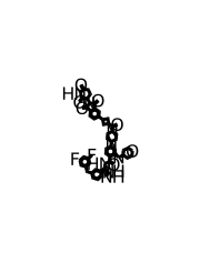 O=C1CCC(N2C(=O)c3ccc(C4CC(C(=O)N5CCN(c6ccc(C(=O)Nc7n[nH]c8ccc(Cc9cc(F)cc(F)c9)cc78)c(NC7CCOCC7)c6)CC5)C4)cc3C2=O)C(=O)N1